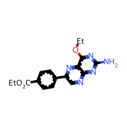 CCOC(=O)c1ccc(-c2cnc3nc(N)nc(OCC)c3n2)cc1